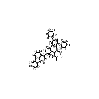 C=CC1Oc2c(-c3ccc4c5c(cccc35)-c3ccccc3-4)cnc(-c3nc(-c4ccccc4)nc(-c4ccccc4)n3)c2C1/C=C\C